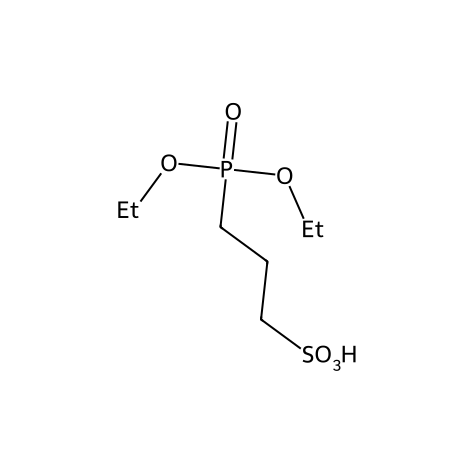 CCOP(=O)(CCCS(=O)(=O)O)OCC